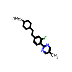 CCCCCCC1CCC(CCc2ccc(-c3ncc(C)cn3)c(F)c2)CC1